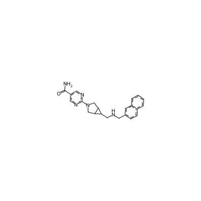 NC(=O)c1cnc(N2CC3C(CNCc4ccc5ccccc5c4)C3C2)nc1